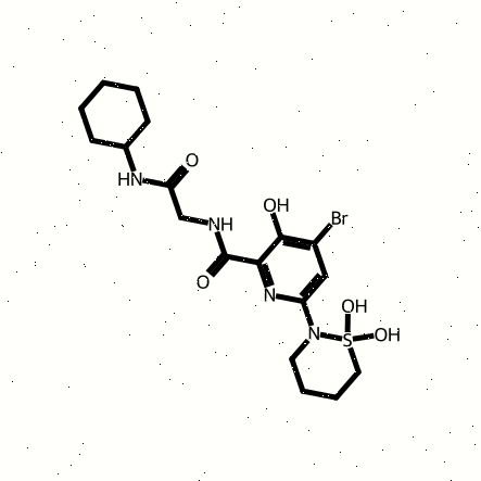 O=C(CNC(=O)c1nc(N2CCCCS2(O)O)cc(Br)c1O)NC1CCCCC1